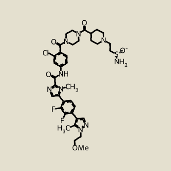 COCCn1ncc(-c2ccc(-c3cnc(C(=O)Nc4ccc(C(=O)N5CCN(C(=O)C6CCN(CC[S+](N)[O-])CC6)CC5)c(Cl)c4)n3C)c(F)c2F)c1C